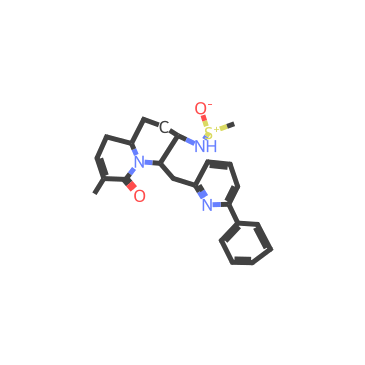 CC1=CCC2CCC(N[S+](C)[O-])C(Cc3cccc(-c4ccccc4)n3)N2C1=O